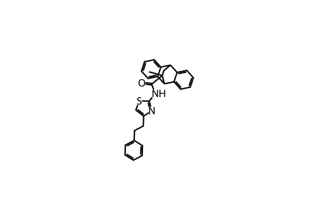 CC1(C(=O)Nc2nc(CCc3ccccc3)cs2)CC2c3ccccc3C1c1ccccc12